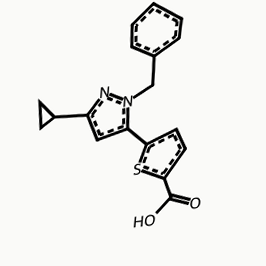 O=C(O)c1ccc(-c2cc(C3CC3)nn2Cc2ccccc2)s1